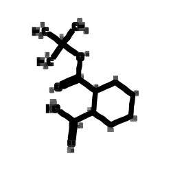 CC(C)(C)OC(=O)C1CCCCC1C(=O)O